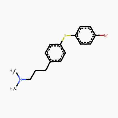 CN(C)CCCc1ccc(Sc2ccc(Br)cc2)cc1